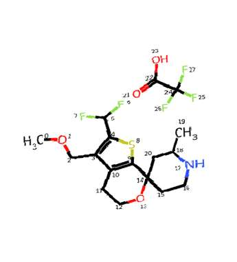 COCc1c(C(F)F)sc2c1CCOC21CCNC(C)C1.O=C(O)C(F)(F)F